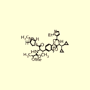 CCn1nccc1C(=O)N[C@H](C(=O)Nc1ccc([C@H](C)[C@@H](NC(=O)[C@H](C)OC)C(=O)N2C[C@H]3C[C@@H]2CN3C)cc1F)C(C1CC1)C1CC1